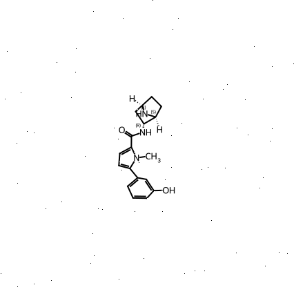 Cn1c(C(=O)N[C@@H]2C[C@H]3CC[C@@H]2N3)ccc1-c1cccc(O)c1